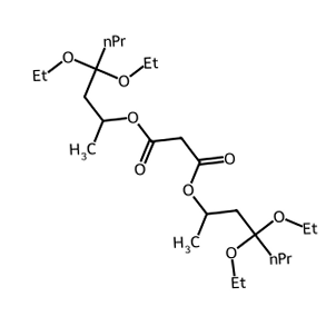 CCCC(CC(C)OC(=O)CC(=O)OC(C)CC(CCC)(OCC)OCC)(OCC)OCC